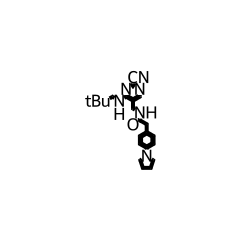 CC(C)(C)CNc1nc(C#N)ncc1CNC(=O)Cc1ccc(N2CCCC2)cc1